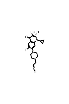 O=C=CCN1CCN(c2cc3c(cc2F)c(=O)c(C(=O)O)cn3C2CC2)CC1